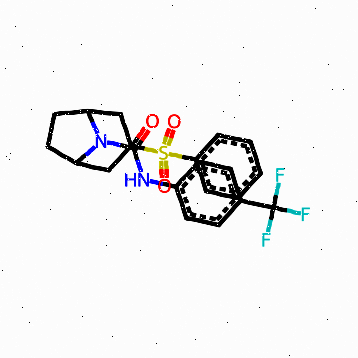 O=C(Nc1ccc(C(F)(F)F)cc1)N1C2CCC1CC(S(=O)(=O)c1ccccc1)C2